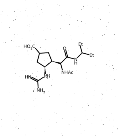 CCC(CC)NC(=O)C(NC(C)=O)[C@@H]1CC(C(=O)O)C[C@@H]1NC(=N)N